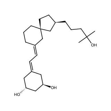 CC(C)(O)CCC[C@@H]1CC[C@@]2(CCC/C(=C\C=C3C[C@@H](O)C[C@H](O)C3)C2)C1